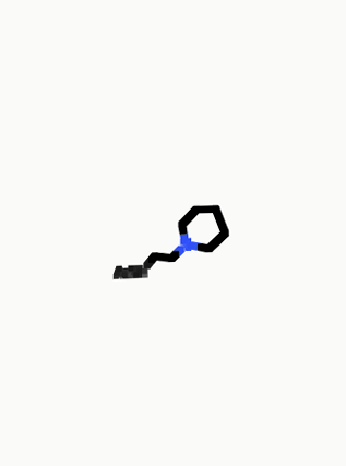 CC(=O)NCCN1CCCCC1